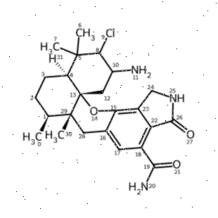 C[C@H]1CC[C@H]2C(C)(C)C(Cl)C(N)C[C@]23Oc2c(cc(C(N)=O)c4c2CNC4=O)C[C@]13C